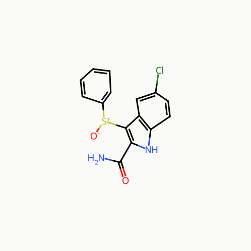 NC(=O)c1[nH]c2ccc(Cl)cc2c1[S+]([O-])c1ccccc1